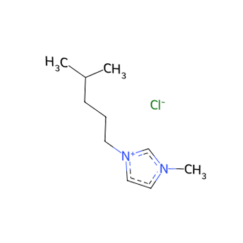 CC(C)CCC[n+]1ccn(C)c1.[Cl-]